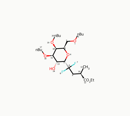 CCCCOC[C@H]1O[C@H](C(F)(F)C[C@@H](C)C(=O)OCC)[C@H](O)[C@@H](OCCCC)[C@H]1OCCCC